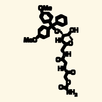 COc1ccc(C(OC[C@@H](NC(=O)CNC(=O)CNC(=O)COC(N)=O)[C@@H](C)O)(c2ccccc2)c2ccc(OC)cc2)cc1